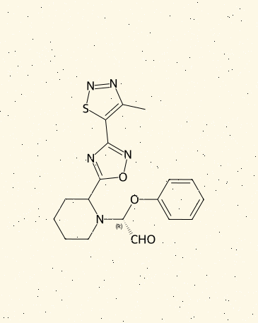 Cc1nnsc1-c1noc(C2CCCCN2[C@@H](C=O)Oc2ccccc2)n1